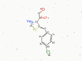 O=CC(=O)C1NCSC1=Cc1ccc(Cl)cc1